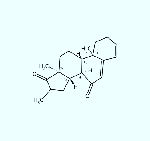 CC1C[C@H]2[C@@H]3C(=O)C=C4C=CCC[C@]4(C)[C@@H]3CC[C@]2(C)C1=O